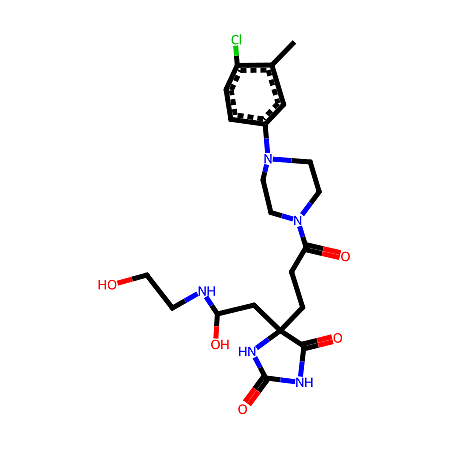 Cc1cc(N2CCN(C(=O)CCC3(CC(O)NCCO)NC(=O)NC3=O)CC2)ccc1Cl